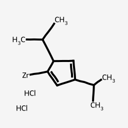 CC(C)C1=CC(C(C)C)[C]([Zr])=C1.Cl.Cl